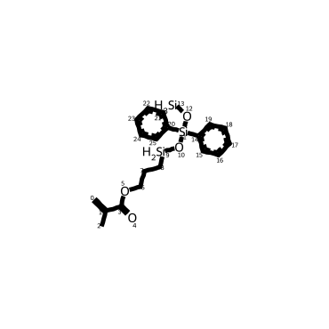 C=C(C)C(=O)OCCC[SiH2]O[Si](O[SiH3])(c1ccccc1)c1ccccc1